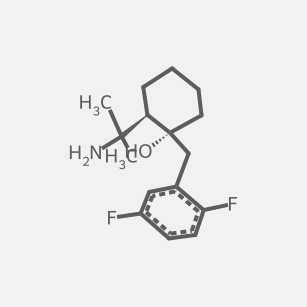 CC(C)(N)[C@H]1CCCC[C@@]1(O)Cc1cc(F)ccc1F